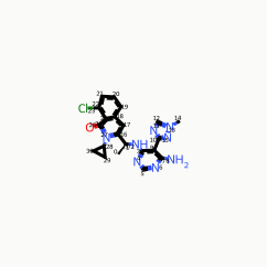 C[C@H](Nc1ncnc(N)c1-c1ncn(C)n1)c1cc2cccc(Cl)c2c(=O)n1C1CC1